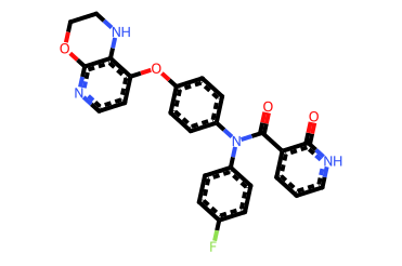 O=C(c1ccc[nH]c1=O)N(c1ccc(F)cc1)c1ccc(Oc2ccnc3c2NCCO3)cc1